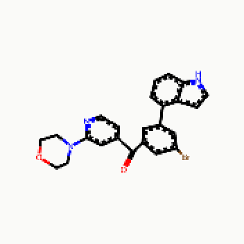 O=C(c1cc(Br)cc(-c2cccc3[nH]ccc23)c1)c1ccnc(N2CCOCC2)c1